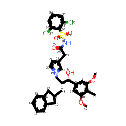 COc1cc([C@@H](O)[C@H](CC2Cc3ccccc3C2)Cn2ccc(CC(=O)NS(=O)(=O)c3c(Cl)cccc3Cl)c2)cc(OC)c1C